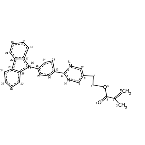 C=C(C)C(=O)OCCc1cnc(-c2ccc(-n3c4ccccc4c4ccccc43)cc2)nc1